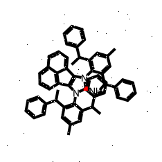 Cc1cc(C(C)c2ccccc2)c(-n2c3c(n(-c4c(C(C)c5ccccc5)cc(C)cc4C(C)c4ccccc4)c2=N)-c2cccc4cccc-3c24)c(C(C)c2ccccc2)c1